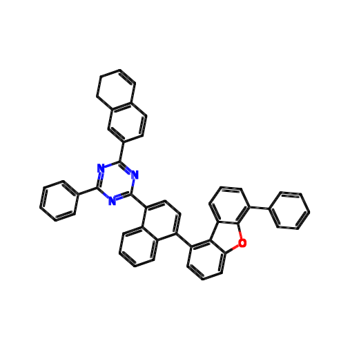 C1=Cc2ccc(-c3nc(-c4ccccc4)nc(-c4ccc(-c5cccc6oc7c(-c8ccccc8)cccc7c56)c5ccccc45)n3)cc2CC1